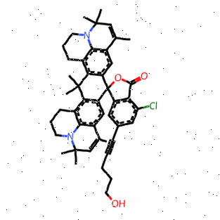 CC1=CC(C)(C)N2CCCc3c2c1cc1c3C(C)(C)c2c(cc3c4c2CCCN4C(C)(C)C=C3C)C12OC(=O)c1c(Cl)cc(C#CCCCO)cc12